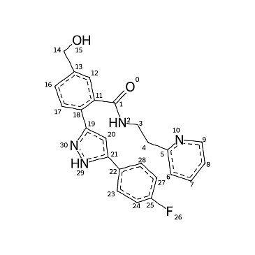 O=C(NCCc1ccccn1)c1cc(CO)ccc1-c1cc(-c2ccc(F)cc2)[nH]n1